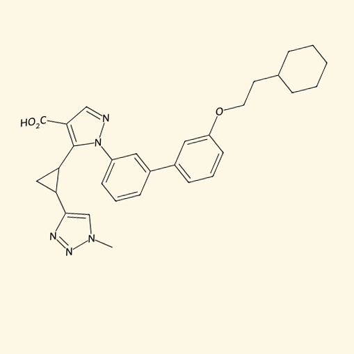 Cn1cc(C2CC2c2c(C(=O)O)cnn2-c2cccc(-c3cccc(OCCC4CCCCC4)c3)c2)nn1